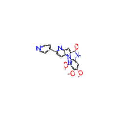 COc1cc(N(C)C(=O)c2cc3nc(-c4ccncc4)ccc3[nH]2)cc(OC)c1OC